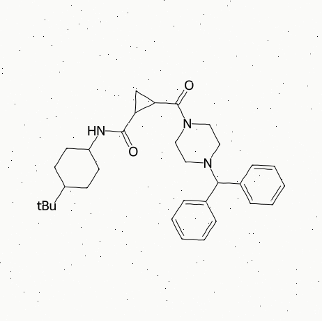 CC(C)(C)C1CCC(NC(=O)C2CC2C(=O)N2CCN(C(c3ccccc3)c3ccccc3)CC2)CC1